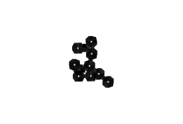 c1ccc(-c2ccc(-c3cc(-c4ccc5c6ccccc6n(-c6ccccc6)c5c4)cc(-n4c5ccccc5c5cccc(-c6ccccc6)c54)c3)cc2)cc1